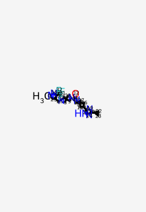 Cn1cc(CN2CC3(C2)CN(C(=O)N2CC4(CC(c5nc(C6CC6)n[nH]5)C4)C2)C3)c(C(F)(F)F)n1